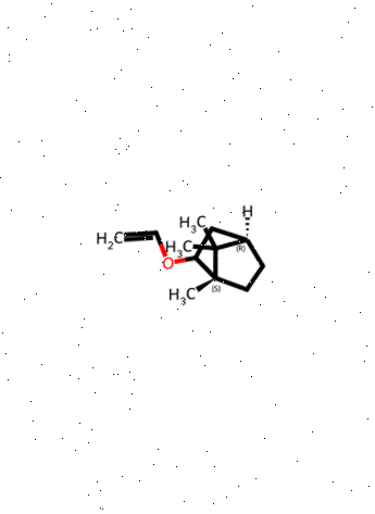 C=COC1C[C@H]2CC[C@@]1(C)C2(C)C